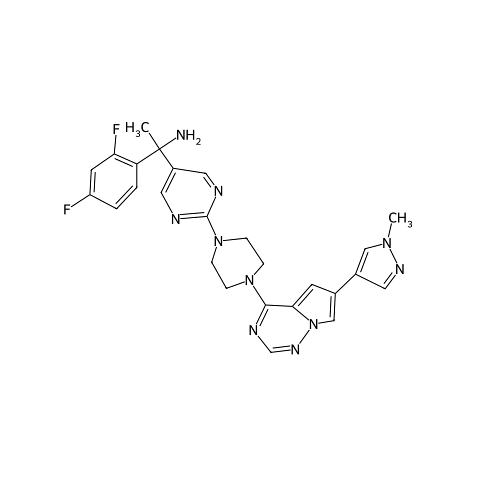 Cn1cc(-c2cc3c(N4CCN(c5ncc(C(C)(N)c6ccc(F)cc6F)cn5)CC4)ncnn3c2)cn1